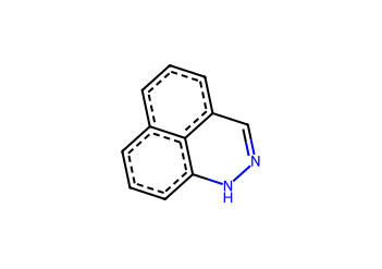 C1=NNc2cccc3cccc1c23